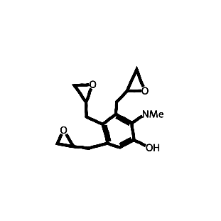 CNc1c(O)cc(CC2CO2)c(CC2CO2)c1CC1CO1